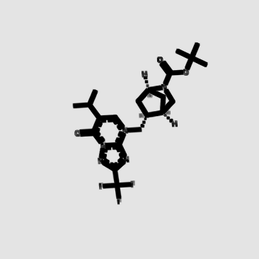 CC(C)c1cn(C[C@@H]2C[C@@H]3C[C@H]2CN3C(=O)OC(C)(C)C)c2nc(C(F)(F)F)nn2c1=O